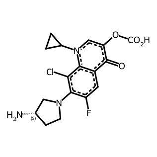 N[C@H]1CCN(c2c(F)cc3c(=O)c(OC(=O)O)cn(C4CC4)c3c2Cl)C1